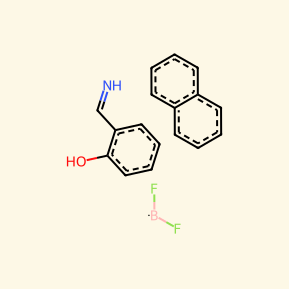 F[B]F.N=Cc1ccccc1O.c1ccc2ccccc2c1